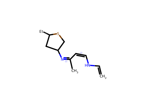 C=CN/C=C\C(C)=N/C1CSC(CC)C1